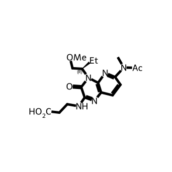 CC[C@H](COC)n1c(=O)c(NCCC(=O)O)nc2ccc(N(C)C(C)=O)nc21